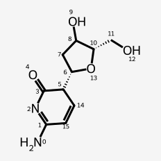 NC1=NC(=O)C([C@@H]2CC(O)[C@H](CO)O2)C=C1